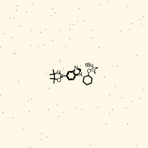 CC1(C)OB(c2ccc3c(c2)ncn3[C@H]2CCCC[C@@H]2O[Si](C)(C)C(C)(C)C)OC1(C)C